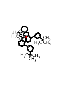 CC(C)(C)c1cccc(-c2cccc3c2C=C[CH]3[Hf]([CH3])([CH3])([CH3])(=[SiH2])([CH]2CCCCC2)[CH]2C=Cc3c(-c4cccc(C(C)(C)C)c4)cccc32)c1